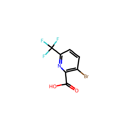 O=C(O)c1nc(C(F)(F)F)ccc1Br